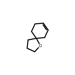 [CH]1CCOC12CC=CCC2